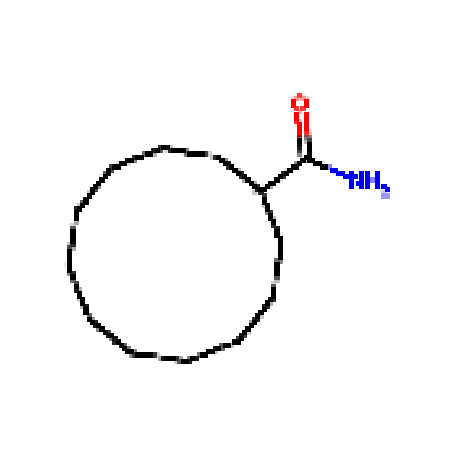 NC(=O)[C]1CCCCCCCCCCC1